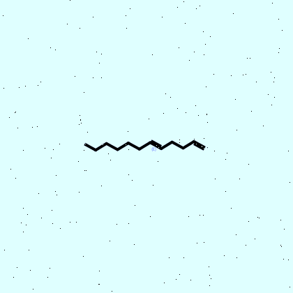 [CH]=CCC/C=C/CCCCCC